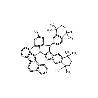 Cc1cc2c3c(c1)N(c1ccc4c(c1)C(C)(C)CCC4(C)C)c1c(oc4cc5c(cc14)C(C)(C)CCC5(C)C)B3n1c3c-2cccc3c2ccc3ccccc3c21